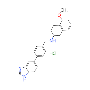 COc1cccc2c1CC[C@H](NCc1ccc(-c3ccc4[nH]cnc4c3)cc1)C2.Cl